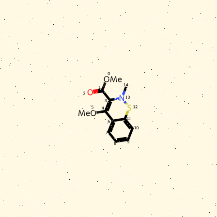 COC(=O)C1=C(OC)c2ccccc2SN1C